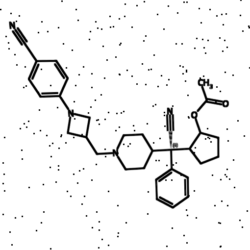 CC(=O)OC1CCCC1[C@@](C#N)(c1ccccc1)C1CCN(CC2CN(c3ccc(C#N)cc3)C2)CC1